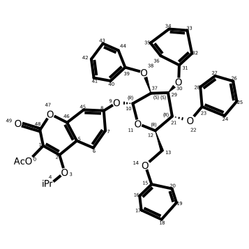 CC(=O)Oc1c(OC(C)C)c2ccc(O[C@H]3O[C@H](COc4ccccc4)[C@@H](Oc4ccccc4)[C@H](Oc4ccccc4)[C@@H]3Oc3ccccc3)cc2oc1=O